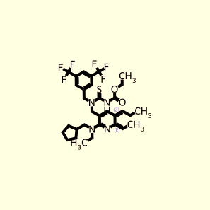 C/C=c1/nc(N(CC)CC2CCCC2)c(CN(Cc2cc(C(F)(F)F)cc(C(F)(F)F)c2)C(=S)NC(=O)OCC)c/c1=C/CC